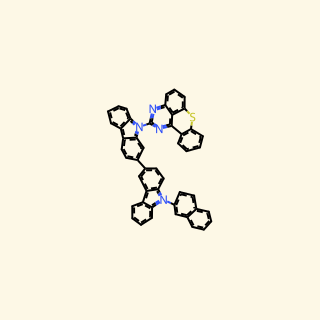 c1ccc2c(c1)Sc1cccc3nc(-n4c5ccccc5c5ccc(-c6ccc7c(c6)c6ccccc6n7-c6ccc7ccccc7c6)cc54)nc-2c13